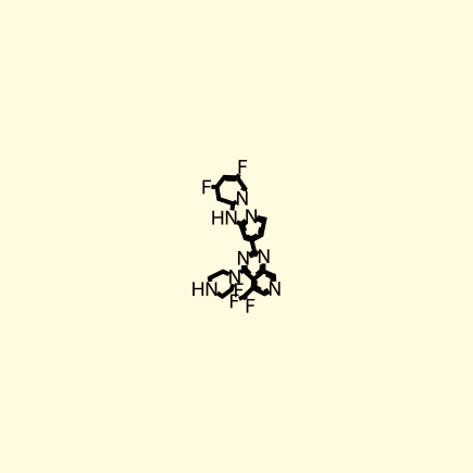 FC1=CC(F)CC(Nc2cc(-c3nc(N4CCNCC4)c4c(C(F)(F)F)cncc4n3)ccn2)N=C1